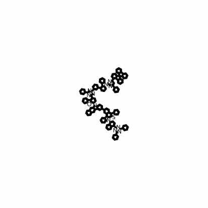 c1ccc(-c2cc(-c3cccc4c3-c3ccccc3C43c4ccccc4-c4ccccc43)nc(-n3c4ccccc4c4c(-c5cccc(-c6nc(-c7ccccc7)nc(-c7ccc(-n8c9ccc(-c%10ccc%11c(c%10)c%10c%12ccccc%12n(-c%12ccc(-c%13nc(-c%14ccccc%14)nc(-c%14ccccc%14)n%13)c%13ccccc%12%13)c%10c%10sc%12ccccc%12c%11%10)cc9c9cc%10ccccc%10cc98)c8oc9ccccc9c78)n6)c5)cccc43)n2)cc1